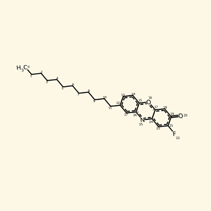 CCCCCCCCCCCCc1ccc2oc3cc(=O)c(F)cc-3nc2c1